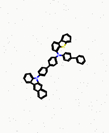 c1ccc(-c2ccc(N(c3ccc(-c4ccc(-n5c6ccccc6c6cc7ccccc7cc65)cc4)cc3)c3cccc4c3sc3ccccc34)cc2)cc1